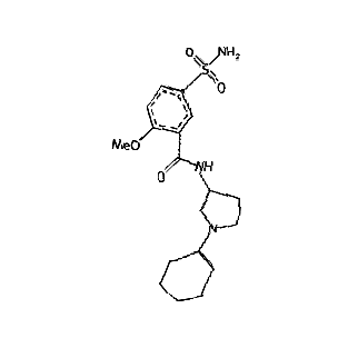 COc1ccc(S(N)(=O)=O)cc1C(=O)NC1CCN(C2CCCCC2)C1